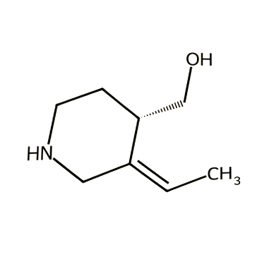 C/C=C1/CNCC[C@@H]1CO